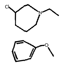 CCN1CCCC(Cl)C1.COc1ccccc1